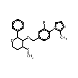 CSC1CCOC(c2ccccc2)C1OCc1ccc(-n2ccnc2C)c(F)c1